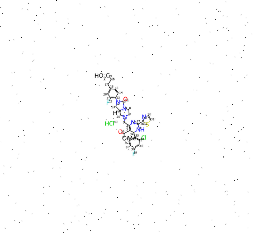 COC(=O)C1=C(CN2CCN3C(=O)N(c4ccc(CCC(=O)O)cc4F)C[C@@H]3C2)N=C(c2nccs2)N[C@H]1c1ccc(F)cc1Cl.Cl